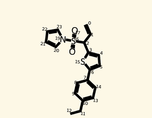 C=CC(c1ccc(-c2ccc(CC)cc2)s1)S(=O)(=O)n1cccc1